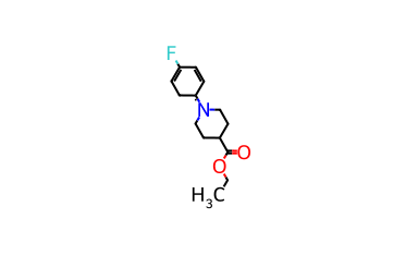 CCOC(=O)C1CCN([C]2C=CC(F)=CC2)CC1